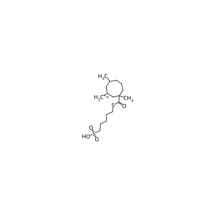 CC1CCCC(C)(C(=O)SCCCCCS(=O)(=O)O)C[C@@H](C)C1